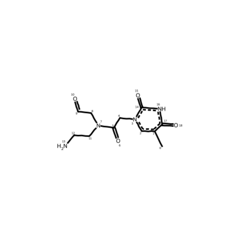 Cc1cn(CC(=O)N(CC=O)CCN)c(=O)[nH]c1=O